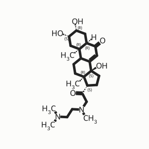 CN(C)CCN(C)CC(=O)[C@H]1CC[C@@]2(O)C3=CC(=O)[C@@H]4C[C@@H](O)[C@@H](O)C[C@]4(C)C3CC[C@]12C